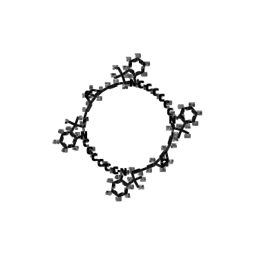 CC1(C)C2=CC=C3CCC(=C3Cl)C=CC3=[N+](CCCCCC[N+]4=C(C=CC5=C(Cl)C(=CC=C6N(CCCCCCN2c2ccccc21)c1ccccc1C6(C)C)CC5)C(C)(C)c1ccccc14)c1ccccc1C3(C)C